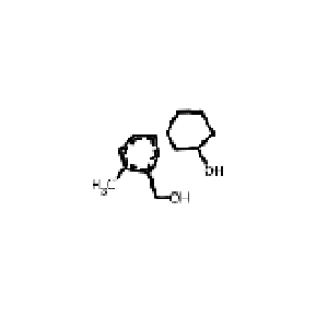 Cc1ccccc1CO.OC1CCCCC1